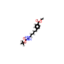 CCOC(=O)c1ccc(CCCCCNNC(=O)OC(C)(C)C)cc1